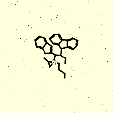 CCC[CH2][Zr]1([CH](C2=Cc3ccccc3C2)C(CC)C2c3ccccc3-c3ccccc32)[CH2][CH]1C